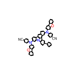 N#Cc1ccc(N(c2ccc3c(c2)oc2ccccc23)c2ccc3cc4c5ccc(N(c6ccc(C#N)cc6)c6ccc7c(c6)oc6ccccc67)cc5n5c6ccc(-c7ccccc7)cc6c(c3c2)c45)cc1